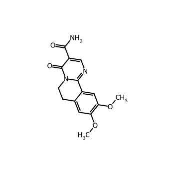 COc1cc2c(cc1OC)-c1ncc(C(N)=O)c(=O)n1CC2